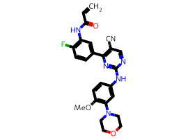 C=CC(=O)Nc1cc(-c2nc(Nc3ccc(OC)c(N4CCOCC4)c3)ncc2C#N)ccc1F